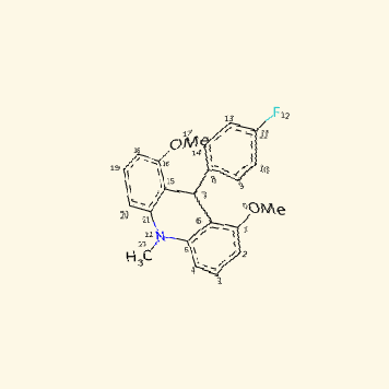 COc1cccc2c1C(c1ccc(F)cc1)c1c(OC)cccc1N2C